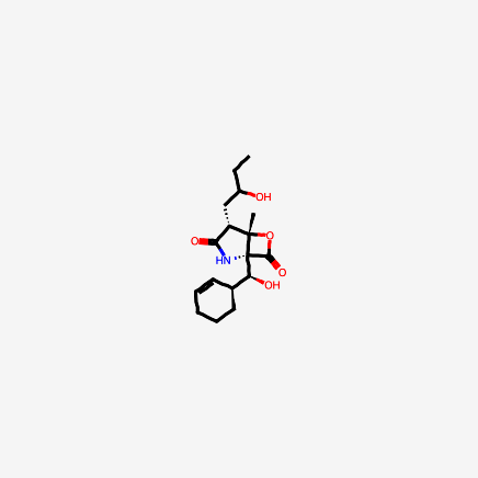 CCC(O)C[C@H]1C(=O)N[C@@]2([C@@H](O)[C@@H]3C=CCCC3)C(=O)O[C@@]12C